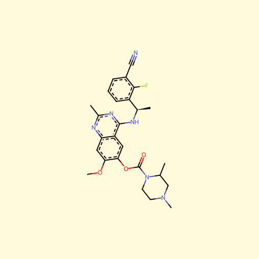 COc1cc2nc(C)nc(N[C@H](C)c3cccc(C#N)c3F)c2cc1OC(=O)N1CCN(C)CC1C